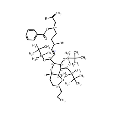 C=C(Br)C[C@@H](CCC(O)/C=C/[C@H](O[Si](C)(C)C(C)(C)C)[C@@H]1O[C@H]2CC[C@H](CCC)O[C@@H]2[C@H](O[Si](C)(C)C(C)(C)C)[C@@H]1O[Si](C)(C)C(C)(C)C)OC(=O)c1ccccc1